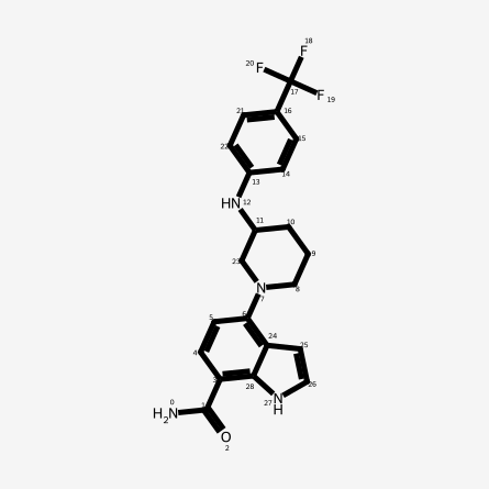 NC(=O)c1ccc(N2CCCC(Nc3ccc(C(F)(F)F)cc3)C2)c2cc[nH]c12